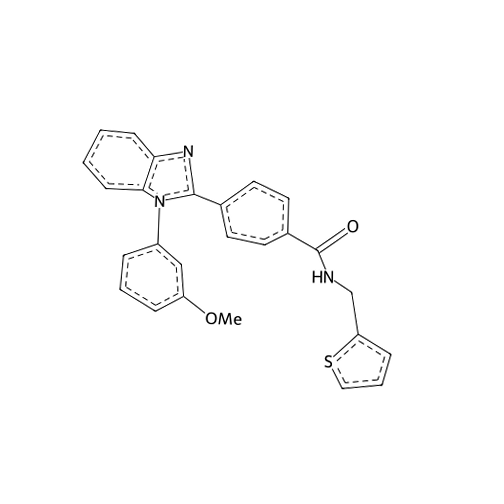 COc1cccc(-n2c(-c3ccc(C(=O)NCc4cccs4)cc3)nc3ccccc32)c1